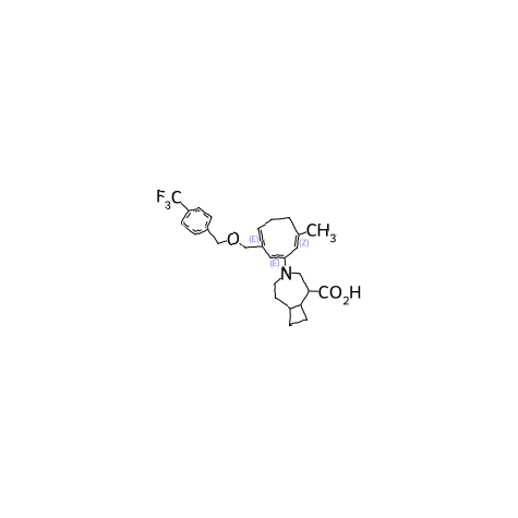 C/C1=C/C(N2CCC3CCC3C(C(=O)O)C2)=C\C(COCc2ccc(C(F)(F)F)cc2)=C/CC1